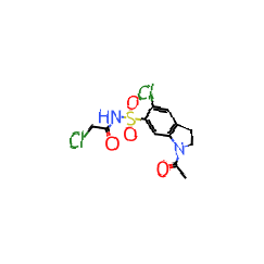 CC(=O)N1CCc2cc(Cl)c(S(=O)(=O)NC(=O)CCl)cc21